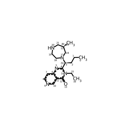 CCC[C@@H](c1nc2ccncc2c(=O)n1CC)N1CCNC[C@@H](C)C1